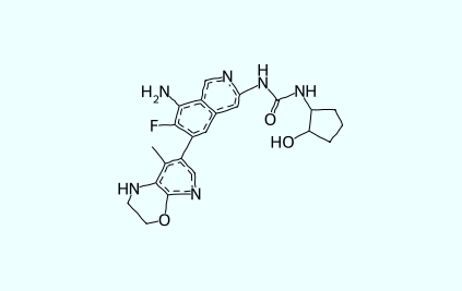 Cc1c(-c2cc3cc(NC(=O)NC4CCCC4O)ncc3c(N)c2F)cnc2c1NCCO2